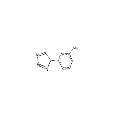 Nc1cccc(C2N=NN=N2)c1